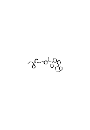 C=CC(=O)OCCOC(C)C(=O)OC1CCOC1=O